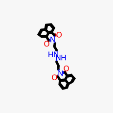 O=C1c2cccc3cccc(c23)C(=O)N1CCCNNCCCN1C(=O)c2cccc3cccc(c23)C1=O